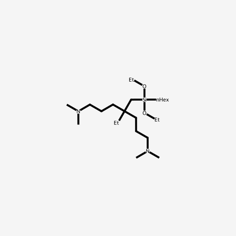 CCCCCC[Si](CC(CC)(CCCN(C)C)CCCN(C)C)(OCC)OCC